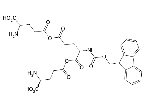 N[C@@H](CCC(=O)OC(=O)CC[C@H](NC(=O)OCC1c2ccccc2-c2ccccc21)C(=O)OC(=O)CC[C@H](N)C(=O)O)C(=O)O